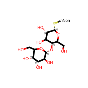 CCCCCCCCCS[C@@H]1OC(CO)[C@@H](O[C@H]2OC(CO)[C@@H](O)[C@@H](O)C2O)C(O)[C@@H]1O